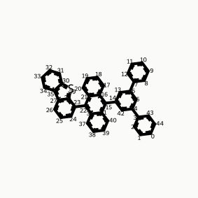 c1ccc(-c2cc(-c3ccccc3)cc(-c3c4ccccc4c(-c4cccc5c4sc4ccccc45)c4ccccc34)c2)cc1